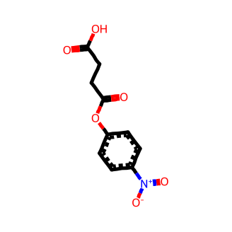 O=C(O)CCC(=O)Oc1ccc([N+](=O)[O-])cc1